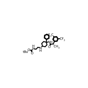 C[C@H](C(=O)NC1(c2ccccc2)CCC(NCCNC(=O)OC(C)(C)C)CC1)c1cc(C(F)(F)F)cc(C(F)(F)F)c1